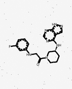 O=C(CNc1cccc(F)c1)N1CCC[C@H](Nc2ncnc3[nH]ncc23)C1